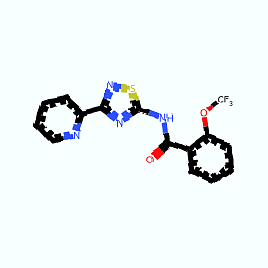 O=C(Nc1nc(-c2ccccn2)ns1)c1ccccc1OC(F)(F)F